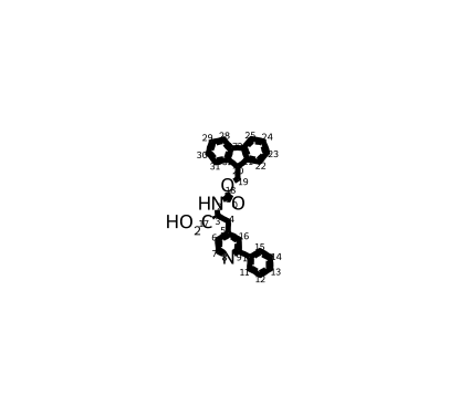 O=C(N[C@@H](Cc1ccnc(-c2ccccc2)c1)C(=O)O)OCC1c2ccccc2-c2ccccc21